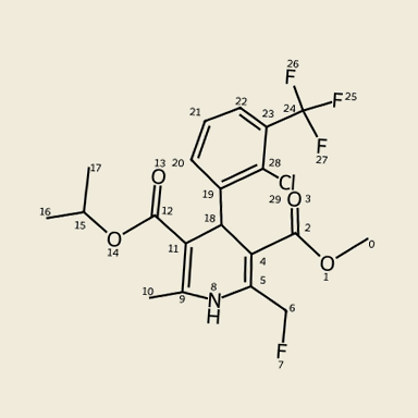 COC(=O)C1=C(CF)NC(C)=C(C(=O)OC(C)C)C1c1cccc(C(F)(F)F)c1Cl